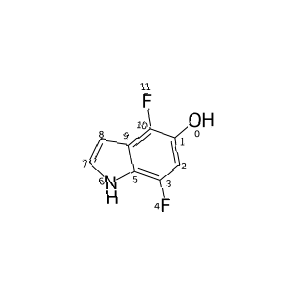 Oc1cc(F)c2[nH]ccc2c1F